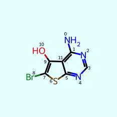 Nc1ncnc2sc(Br)c(O)c12